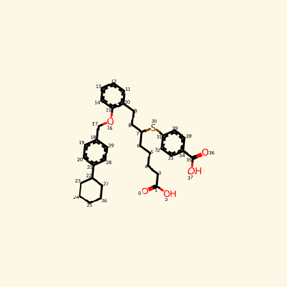 O=C(O)CCCCC(CCc1ccccc1OCc1ccc(C2CCCCC2)cc1)Sc1ccc(C(=O)O)cc1